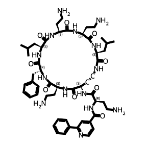 CC(C)C[C@@H]1NC(=O)[C@H](CCN)NC(=O)[C@H](CCN)NC(=O)[C@H](CC(C)C)NC(=O)[C@@H](Cc2ccccc2)NC(=O)[C@H](CCN)NC(=O)[C@@H](NC(=O)[C@@H](CCN)NC(=O)c2ccnc(-c3ccccc3)c2)CCNC1=O